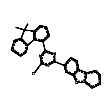 CC1(C)c2ccccc2-c2c(-c3nc(Cl)nc(-c4ccc5c(c4)oc4ccccc45)n3)cccc21